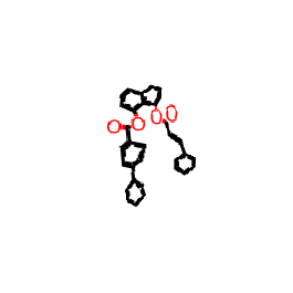 O=C(C=Cc1ccccc1)Oc1cccc2cccc(OC(=O)c3ccc(-c4ccccc4)cc3)c12